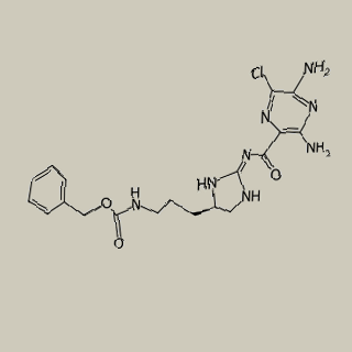 Nc1nc(N)c(C(=O)/N=C2\NC[C@@H](CCCNC(=O)OCc3ccccc3)N2)nc1Cl